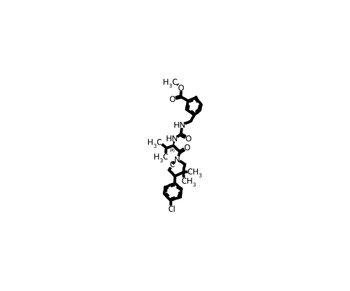 COC(=O)c1cccc(CNC(=O)N[C@@H](C(=O)N2CCC(c3ccc(Cl)cc3)C(C)(C)C2)C(C)C)c1